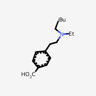 CCC(C)CN(CC)CCc1ccc(C(=O)O)cc1